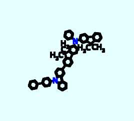 CC1(C)c2ccccc2-c2ccc(N(c3ccccc3)c3ccc4c(c3)C(C)(C)c3cc(-c5ccc6c(c5)c5ccccc5n6-c5ccc(-c6ccccc6)cc5)ccc3-4)cc21